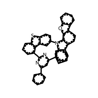 c1ccc(-c2cc(-c3ccccc3)nc(-c3cccc4sc5ccc(-n6c7ccccc7c7ccc8c9ccccc9oc8c76)cc5c34)n2)cc1